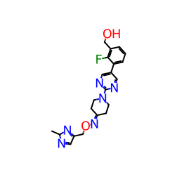 CC1N=CC(CON=C2CCN(c3ncc(-c4cccc(CO)c4F)cn3)CC2)=N1